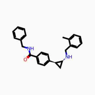 Cc1ccccc1CN[C@@H]1C[C@H]1c1ccc(C(=O)NCc2ccccc2)cc1